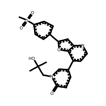 CC(C)(O)Cn1cc(-c2ccnc3cc(-c4ccc(S(C)(=O)=O)cc4)oc23)ccc1=O